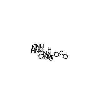 O=C(Nc1nc2c(C(=O)Nc3ncc[nH]3)cccc2[nH]1)c1ccc(Oc2ccccc2)cc1